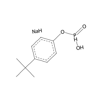 CC(C)(C)c1ccc(O[PH](=O)O)cc1.[NaH]